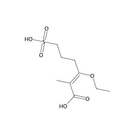 CCOC(CCCS(=O)(=O)O)=C(C)C(=O)O